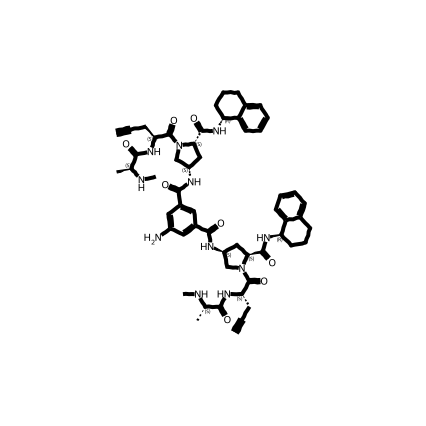 C#CC[C@H](NC(=O)[C@H](C)NC)C(=O)N1C[C@@H](NC(=O)c2cc(N)cc(C(=O)N[C@H]3C[C@@H](C(=O)N[C@@H]4CCCc5ccccc54)N(C(=O)[C@H](CC#C)NC(=O)[C@H](C)NC)C3)c2)C[C@H]1C(=O)N[C@@H]1CCCc2ccccc21